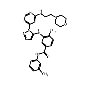 Cc1cccc(NC(=O)c2ccc(C)c(Nc3ccnn3-c3cc(NCCN4CCOCC4)ncn3)n2)c1